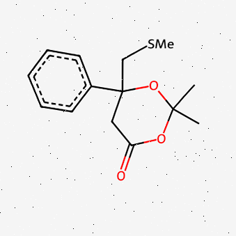 CSCC1(c2ccccc2)CC(=O)OC(C)(C)O1